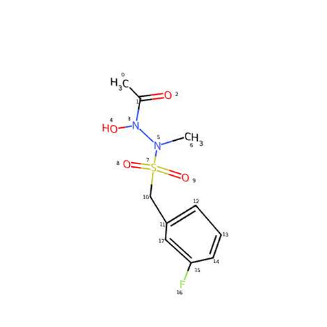 CC(=O)N(O)N(C)S(=O)(=O)Cc1cccc(F)c1